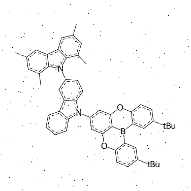 Cc1cc(C)c2c(c1)c1cc(C)cc(C)c1n2-c1ccc2c(c1)c1ccccc1n2-c1cc2c3c(c1)Oc1ccc(C(C)(C)C)cc1B3c1cc(C(C)(C)C)ccc1O2